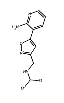 CCC(CC)NCc1cc(-c2cccnc2N)on1